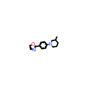 CC1CCCN(c2ccc(-c3ncco3)cc2)C1